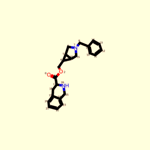 O=C(OCC1C2CN(Cc3ccccc3)CC12)C1Cc2ccccc2CN1